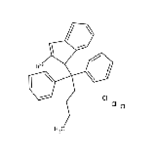 CCCCC(c1ccccc1)(c1ccccc1)C1[C]([Ti+3])=Cc2ccccc21.[Cl-].[Cl-].[Cl-]